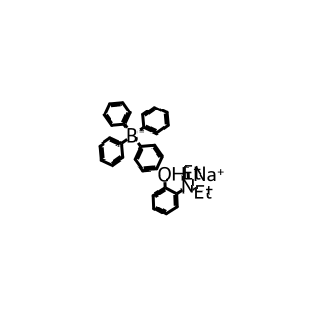 CCN(CC)c1ccccc1O.[Na+].c1ccc([B-](c2ccccc2)(c2ccccc2)c2ccccc2)cc1